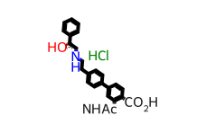 CC(=O)Nc1cc(-c2ccc(CCNC[C@@H](O)c3ccccc3)cc2)ccc1C(=O)O.Cl